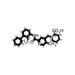 Cc1cnc(C(=O)Nc2cccc(-c3ccccc3)c2C)cc1CN1CCCC[C@H]1C(=O)O